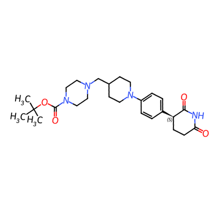 CC(C)(C)OC(=O)N1CCN(CC2CCN(c3ccc([C@@H]4CCC(=O)NC4=O)cc3)CC2)CC1